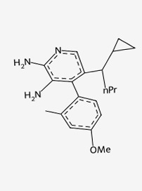 CCCC(c1cnc(N)c(N)c1-c1ccc(OC)cc1C)C1CC1